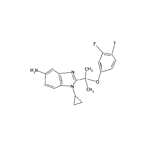 CC(C)(Oc1ccc(F)c(F)c1)c1nc2cc(N)ccc2n1C1CC1